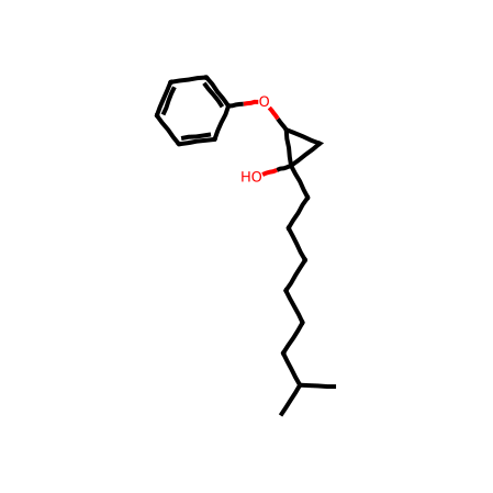 CC(C)CCCCCCC1(O)CC1Oc1ccccc1